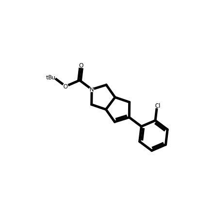 CC(C)(C)OC(=O)N1CC2C=C(c3ccccc3Cl)CC2C1